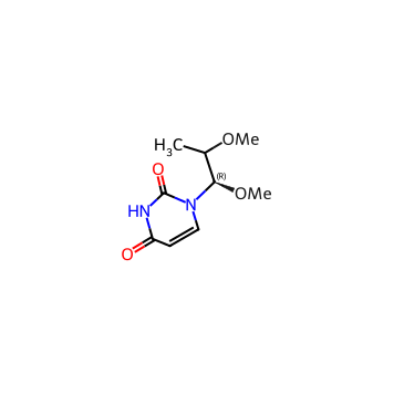 COC(C)[C@@H](OC)n1ccc(=O)[nH]c1=O